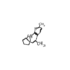 CC1=CC2(CCCC2)Nc2nc(C)ccc21